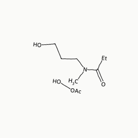 CC(=O)OO.CCC(=O)N(C)CCCO